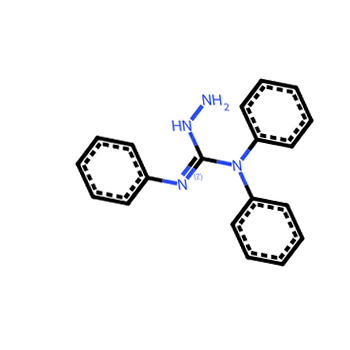 NN/C(=N\c1ccccc1)N(c1ccccc1)c1ccccc1